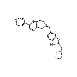 c1cc(-c2ncc3c(n2)CCN(Cc2ccc4[nH]c(CN5CCCC5)cc4c2)C3)ccn1